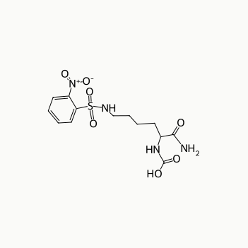 NC(=O)C(CCCCNS(=O)(=O)c1ccccc1[N+](=O)[O-])NC(=O)O